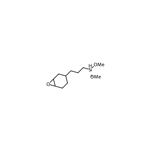 CO[SiH](CCCC1CCC2OC2C1)OC